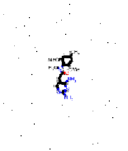 COc1cc(C)cc(OC)c1N(C)C(=O)Cc1cnc(N)nc1N